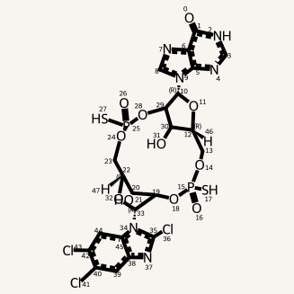 O=c1[nH]cnc2c1ncn2[C@@H]1O[C@@H]2COP(=O)(S)OC3C(O)[C@@H](COP(=O)(S)OC1C2O)O[C@H]3n1c(Cl)nc2cc(Cl)c(Cl)cc21